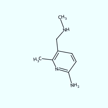 CNCc1ccc(N)nc1C